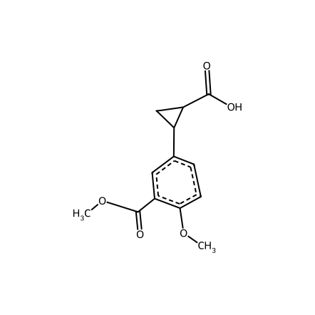 COC(=O)c1cc(C2CC2C(=O)O)ccc1OC